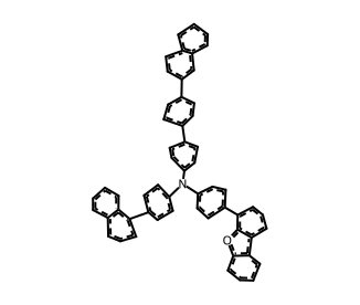 c1ccc2cc(-c3ccc(-c4ccc(N(c5ccc(-c6cccc7ccccc67)cc5)c5ccc(-c6cccc7c6oc6ccccc67)cc5)cc4)cc3)ccc2c1